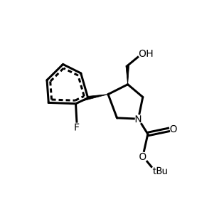 CC(C)(C)OC(=O)N1C[C@H](CO)[C@H](c2ccccc2F)C1